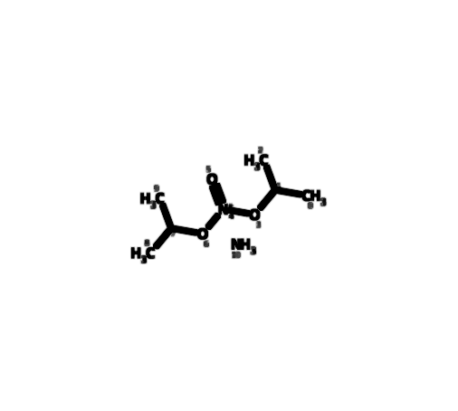 CC(C)O[N+](=O)OC(C)C.N